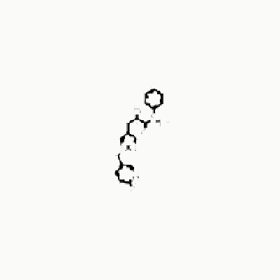 CCN(C(=O)C(Cc1cnn(Cc2ccc(Cl)nc2)c1)C(=O)O)c1ccccc1